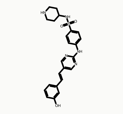 O=S(=O)(NC1CCNCC1)c1ccc(Nc2ncc(/C=C/c3cccc(O)c3)cn2)cc1